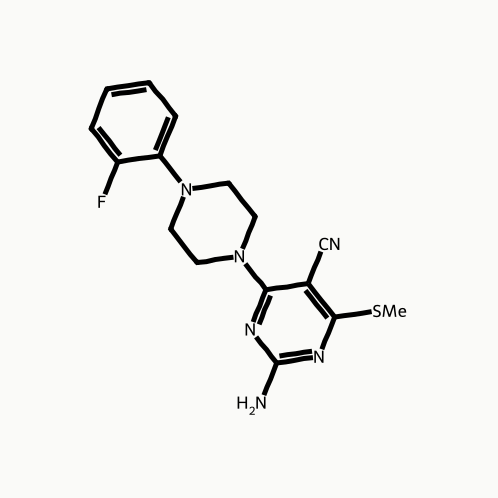 CSc1nc(N)nc(N2CCN(c3ccccc3F)CC2)c1C#N